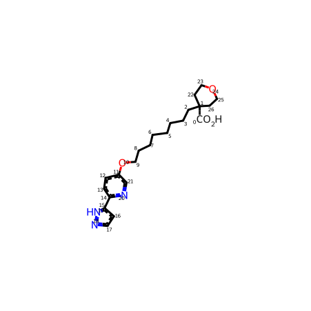 O=C(O)C1(CCCCCCCCOc2ccc(-c3ccn[nH]3)nc2)CCOCC1